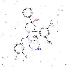 CC1(c2cc(C(F)(F)F)cc(C(F)(F)F)c2)CC(O)(c2ccccc2)CCN1C(Cc1ccc(Cl)c(Cl)c1)N1CCNCC1